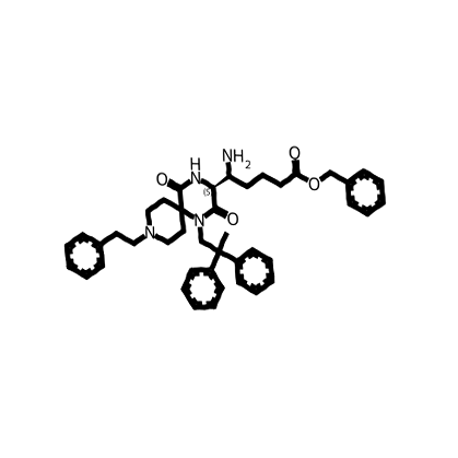 CC(CN1C(=O)[C@H](C(N)CCCC(=O)OCc2ccccc2)NC(=O)C12CCN(CCc1ccccc1)CC2)(c1ccccc1)c1ccccc1